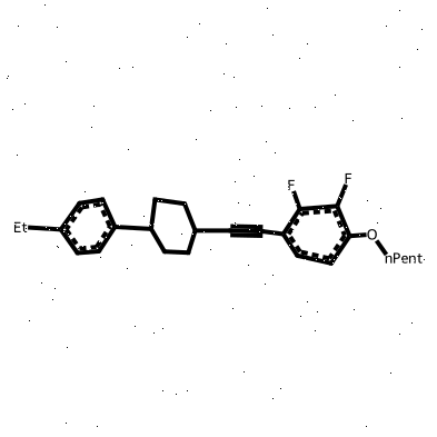 CCCCCOc1ccc(C#CC2CCC(c3ccc(CC)cc3)CC2)c(F)c1F